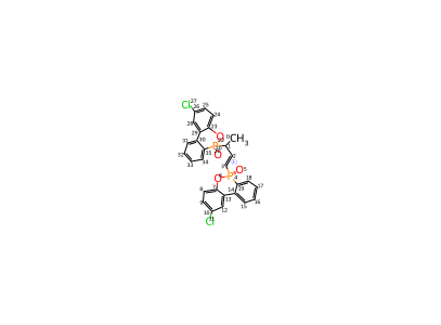 CC(/C=C/P1(=O)Oc2ccc(Cl)cc2-c2ccccc21)P1(=O)Oc2ccc(Cl)cc2-c2ccccc21